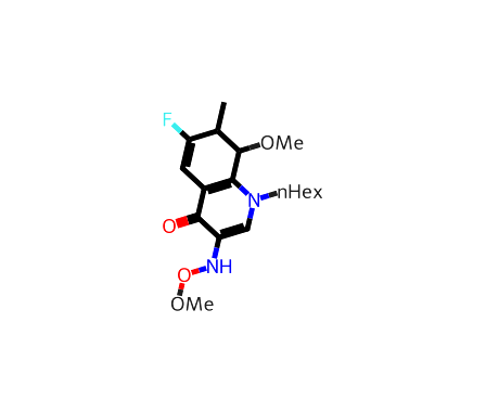 CCCCCCn1cc(NOOC)c(=O)c2c1C(OC)C(C)C(F)=C2